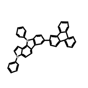 c1ccc(-n2ccc3c2ccc2c4cc(-c5ccc6c7ccccc7c7ccccc7c6c5)ccc4n(-c4ccccc4)c23)cc1